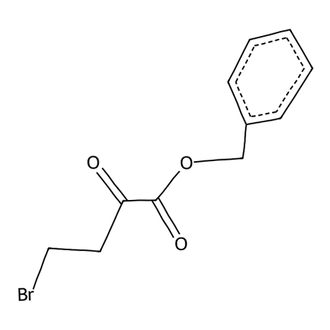 O=C(CCBr)C(=O)OCc1ccccc1